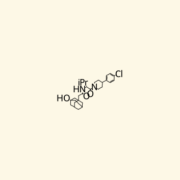 CC(C)[C@@H](NC(=O)CC12CC3CC(CC(O)(C3)C1)C2)C(=O)N1CCC(c2ccc(Cl)cc2)CC1